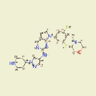 Fc1cc(-n2ccc3cnc(Nc4cnn(C5CCNCC5)c4)nc32)cc(F)c1CN1CCOCC1